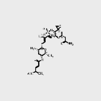 CC(=O)OC(C)C=CC(=O)N[C@@H]1C[C@H](C)[C@H](CC=C(C)C=C[C@H]2O[C@H](CC(N)=O)C[C@@]3(CO3)[C@@H]2O[Si](C)(C)C(C)(C)C)O[C@@H]1C